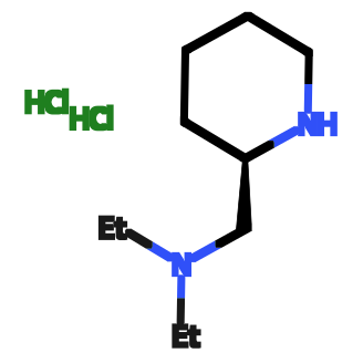 CCN(CC)C[C@H]1CCCCN1.Cl.Cl